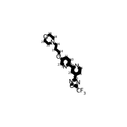 FC(F)(F)c1nc(-c2ccnc(-c3ccc(OCCCN4CCOCC4)cn3)c2)no1